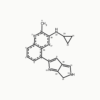 Cc1nc2cccc(C3=CC4=CNCC4=N3)c2nc1NC1CC1